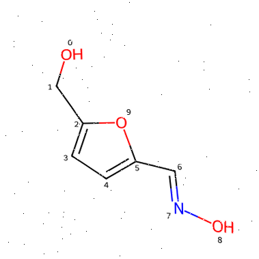 OCc1ccc(/C=N/O)o1